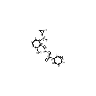 CC(C)c1cccc([C@H](C)C2CC2)c1OCOC(=O)c1cccnc1